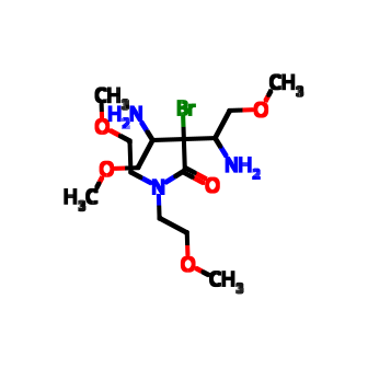 COCCN(CCOC)C(=O)C(Br)(C(N)COC)C(N)COC